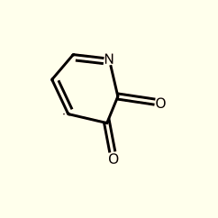 O=C1[C]=CC=NC1=O